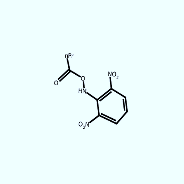 CCCC(=O)ONc1c([N+](=O)[O-])cccc1[N+](=O)[O-]